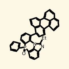 CCc1nc2cccc3c2n1-c1c(-c2ccc4c5cccc6cccc(c7cccc2c74)c65)cccc1P3(=O)c1ccccc1